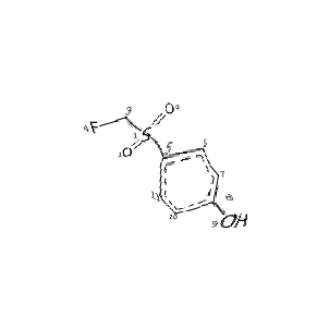 O=S(=O)(CF)c1ccc(O)cc1